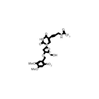 COc1cc(COC2C[C@H](n3cc(C#CCNC(=O)C(F)(F)F)c(=O)[nH]c3=O)O[C@@H]2CO)c([N+](=O)[O-])cc1OC